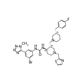 Cn1nnnc1-c1cc(Br)cc(NC(=O)N[C@@H]2CCN(Cc3nccs3)C[C@H]2CN2CCC[C@@H](Cc3ccc(F)cc3)C2)c1